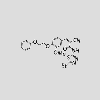 CCc1nnc(NC(=O)C(C#N)=Cc2ccc(OCCOc3ccccc3)c(OC)c2)s1